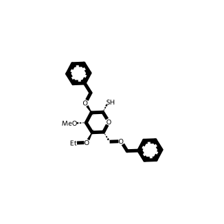 CCO[C@H]1[C@H](OC)[C@@H](OCc2ccccc2)[C@H](S)O[C@@H]1COCc1ccccc1